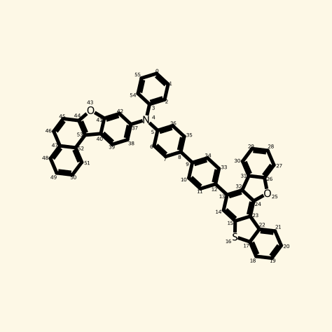 c1ccc(N(c2ccc(-c3ccc(-c4cc5sc6ccccc6c5c5oc6ccccc6c45)cc3)cc2)c2ccc3c(c2)oc2ccc4ccccc4c23)cc1